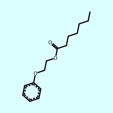 CCCCCCC(=O)OCCOc1ccccc1